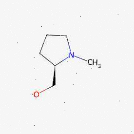 CN1CCC[C@@H]1C[O]